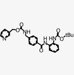 CC(C)(C)OC(=O)Nc1ccccc1NC(=O)c1ccc(CNC(=O)OCc2cccnc2)cc1